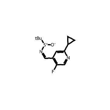 CC(C)(C)[S+]([O-])/N=C\c1cc(C2CC2)ncc1F